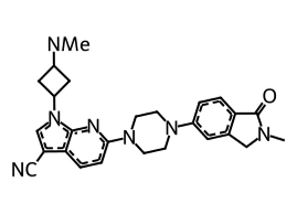 CNC1CC(n2cc(C#N)c3ccc(N4CCN(c5ccc6c(c5)CN(C)C6=O)CC4)nc32)C1